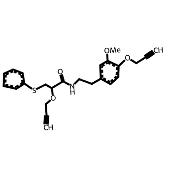 C#CCOc1ccc(CCNC(=O)C(CSc2ccccc2)OCC#C)cc1OC